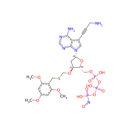 COc1cc(OC)c(CSCO[C@H]2C[C@H](n3cc(C#CCN)c4c(N)ncnc43)O[C@@H]2COP(=O)(O)OP(=O)(O)OP(=O)(O)N=O)c(OC)c1